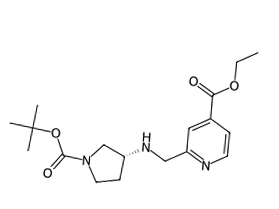 CCOC(=O)c1ccnc(CN[C@@H]2CCN(C(=O)OC(C)(C)C)C2)c1